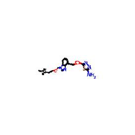 C[Si](C)(C)CCOCn1cnc2c(COc3nnc(N)s3)cccc21